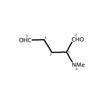 CNC(C=O)CCC=O